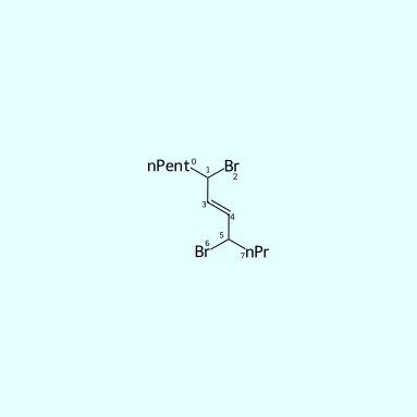 CCCCCC(Br)C=CC(Br)CCC